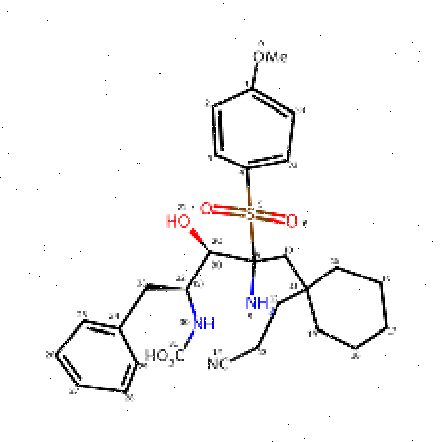 COc1ccc(S(=O)(=O)C(N)(CC2(CCC#N)CCCCC2)[C@H](O)[C@H](Cc2ccccc2)NC(=O)O)cc1